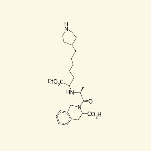 CCOC(=O)C(CCCCCC1CCNCC1)N[C@@H](C)C(=O)N1Cc2ccccc2CC1C(=O)O